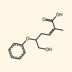 CC(=CCC(CO)Oc1ccccc1)C(=O)O